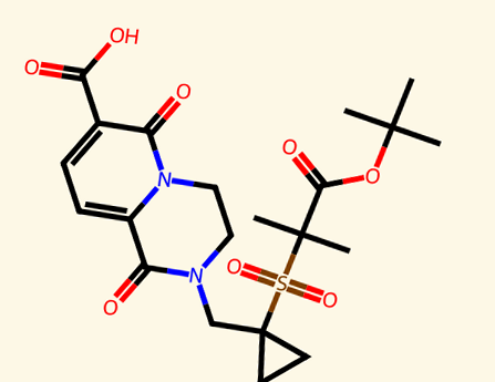 CC(C)(C)OC(=O)C(C)(C)S(=O)(=O)C1(CN2CCn3c(ccc(C(=O)O)c3=O)C2=O)CC1